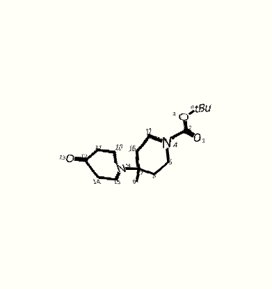 CC(C)(C)OC(=O)N1CCC(C)(N2CCC(=O)CC2)CC1